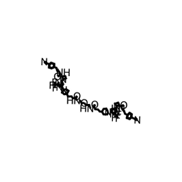 N#Cc1ccc(CCNC(=O)[C@@H]2CCN2c2cc(N3CCC(CCCC(=O)NCCOCCNC(=O)CCCC4CCN(c5cc(N6CC[C@H]6C(=O)NCCc6ccc(C#N)cc6)nc(C(F)(F)F)n5)CC4)CC3)nc(C(F)(F)F)n2)cc1